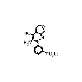 CCOC(=O)c1cccc(N2N=C3COCC=C3C(C#N)=C2N)c1